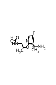 C[C@@H](CNC(=O)O)Oc1ncc(F)cc1[C@@H](C)N